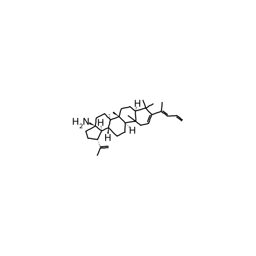 C=C/C=C(\C)C1=CCC2(C)[C@H]3CC[C@@H]4[C@H]5[C@H](C(=C)C)CC[C@]5(N)CC[C@@]4(C)[C@]3(C)CC[C@H]2C1(C)C